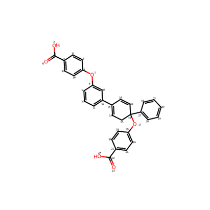 O=C(O)c1ccc(Oc2cccc(C3=CCC(Oc4ccc(C(=O)O)cc4)(c4ccccc4)C=C3)c2)cc1